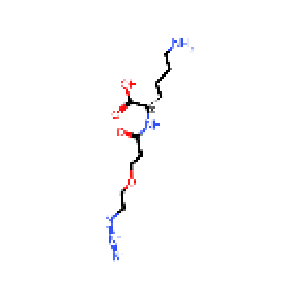 [N-]=[N+]=NCCOCCC(=O)N[C@@H](CCCCN)C(=O)O